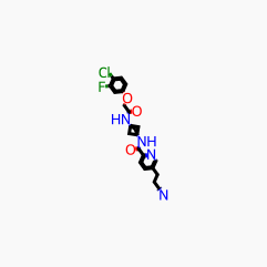 N#CCCc1ccc(C(=O)NC23CC(NC(=O)COc4ccc(Cl)c(F)c4)(C2)C3)nc1